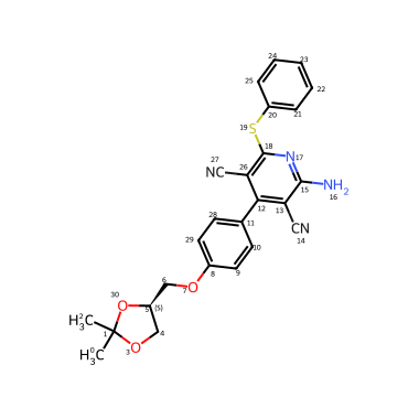 CC1(C)OC[C@H](COc2ccc(-c3c(C#N)c(N)nc(Sc4ccccc4)c3C#N)cc2)O1